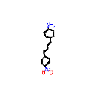 Nc1ccc(C=CC=Cc2ccc([N+](=O)[O-])cc2)cc1